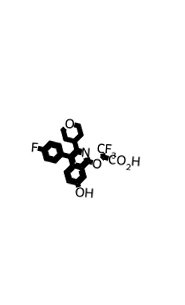 O=C(O)C(Oc1nc(C2CCOCC2)c(-c2ccc(F)cc2)c2ccc(O)cc12)C(F)(F)F